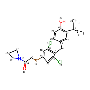 CC(C)c1cc(Cc2c(Cl)cc(SCC(=O)N3CCC3)cc2Cl)ccc1O